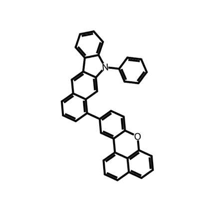 c1ccc(-n2c3ccccc3c3cc4cccc(-c5ccc6c(c5)-c5cccc7cccc(c57)O6)c4cc32)cc1